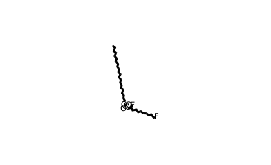 CCCCCCCCCCCCCCCCCCCCCCOS(=O)(=O)CC(F)CCCCCCCCCF